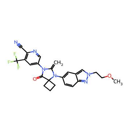 C=C1N(c2cnc(C#N)c(C(F)(F)F)c2)C(=O)C2(CCC2)N1c1ccc2nn(CCOC)cc2c1